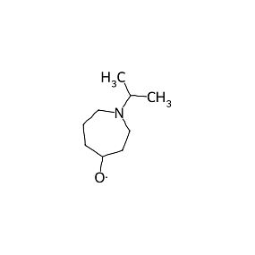 CC(C)N1CCCC([O])CC1